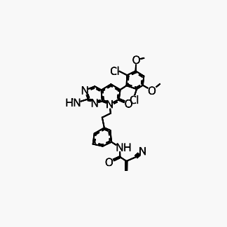 C=C(C#N)C(=O)Nc1cccc(CCn2c(=O)c(-c3c(Cl)c(OC)cc(OC)c3Cl)cc3cnc(NC)nc32)c1